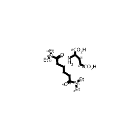 CCN(CC)C(=O)CCCCC(=O)N(CC)CC.NC(CCC(=O)O)C(=O)O